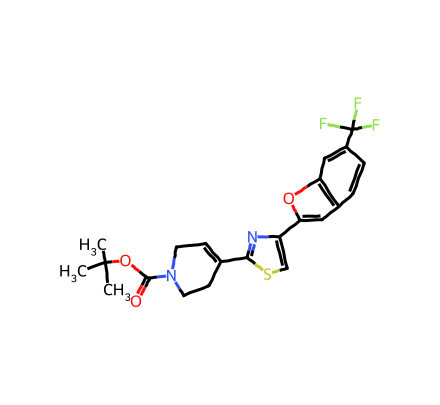 CC(C)(C)OC(=O)N1CC=C(c2nc(-c3cc4ccc(C(F)(F)F)cc4o3)cs2)CC1